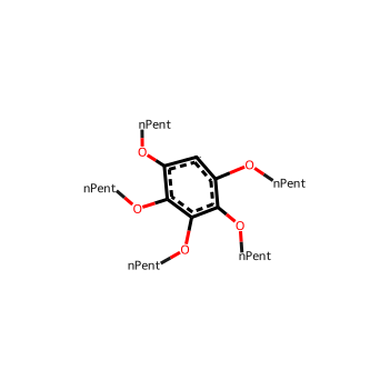 CCCCCOc1[c]c(OCCCCC)c(OCCCCC)c(OCCCCC)c1OCCCCC